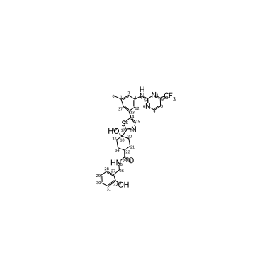 Cc1cc(Nc2nccc(C(F)(F)F)n2)cc(-c2cnc(C3(O)CCC(C(=O)NCc4ccccc4O)CC3)s2)c1